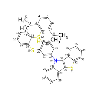 CC(C)c1cccc(C(C)C)c1[SH]1c2ccccc2Sc2cc(-n3c4ccccc4c4sc5ccccc5c43)ccc21